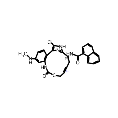 CNc1ccc2c(c1)NC(=O)CC/C=C/C[C@H](NC(=O)c1cccc3ccccc13)c1nc-2c(Cl)[nH]1